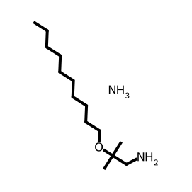 CCCCCCCCCCOC(C)(C)CN.N